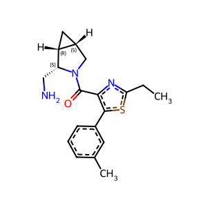 CCc1nc(C(=O)N2C[C@H]3C[C@H]3[C@H]2CN)c(-c2cccc(C)c2)s1